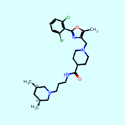 Cc1oc(-c2c(Cl)cccc2Br)nc1CN1CCC(C(=O)NCCCN2C[C@H](C)C[C@H](C)C2)CC1